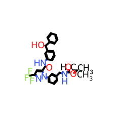 CC(C)(C)OC(=O)NCc1cccc(-n2nc(C(F)(F)F)cc2C(=O)Nc2cccc([C@@H](O)c3ccccc3)c2)c1